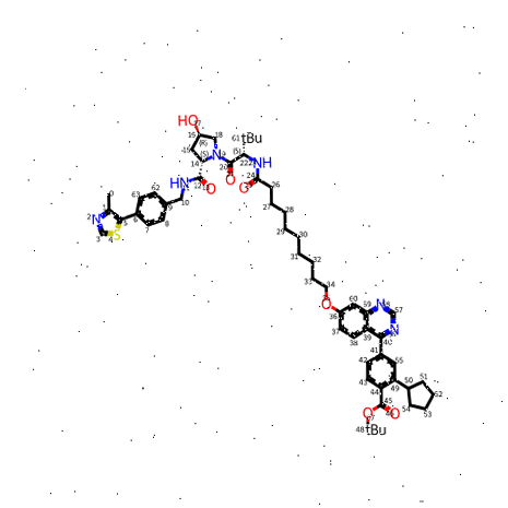 Cc1ncsc1-c1ccc(CNC(=O)[C@@H]2C[C@@H](O)CN2C(=O)[C@@H](NC(=O)CCCCCCCCCOc2ccc3c(-c4ccc(C(=O)OC(C)(C)C)c(C5CCCC5)c4)ncnc3c2)C(C)(C)C)cc1